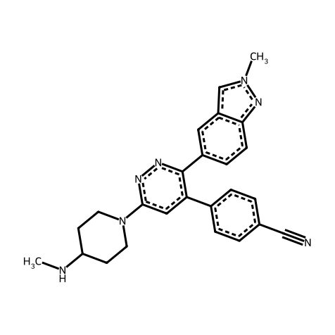 CNC1CCN(c2cc(-c3ccc(C#N)cc3)c(-c3ccc4nn(C)cc4c3)nn2)CC1